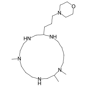 CC1CNCCCN(C)CCNCC(CCCN2CCOCC2)NCCCCN1C